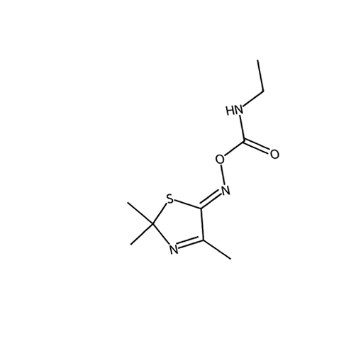 CCNC(=O)ON=C1SC(C)(C)N=C1C